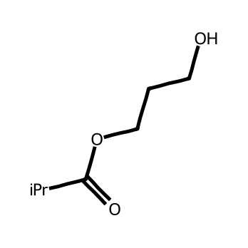 CC(C)C(=O)OCCCO